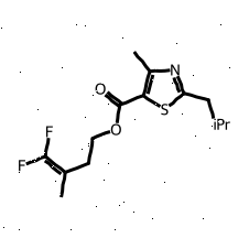 CC(CCOC(=O)c1sc(CC(C)C)nc1C)=C(F)F